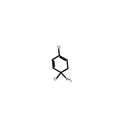 PC1(Cl)C=CC(Cl)=CC1